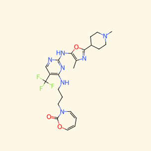 Cc1nc(C2CCN(C)CC2)oc1Nc1ncc(C(F)(F)F)c(NCCCN2C=CC=COC2=O)n1